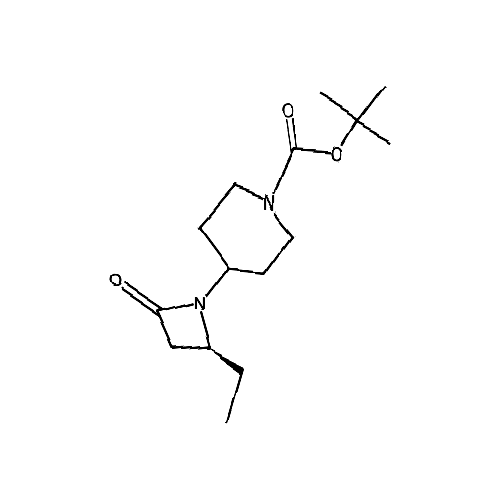 CC[C@H]1CC(=O)N1C1CCN(C(=O)OC(C)(C)C)CC1